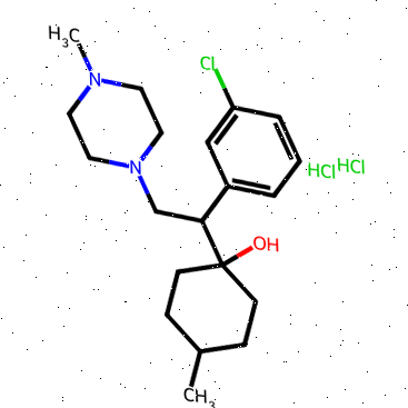 CC1CCC(O)(C(CN2CCN(C)CC2)c2cccc(Cl)c2)CC1.Cl.Cl